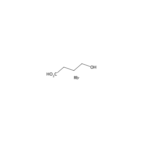 O=C(O)CCCO.[Rb]